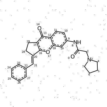 O=C(CN1CCCC1)Nc1ccc2c(=O)c3c(oc2c1)C(=Cc1ccccc1)CC3